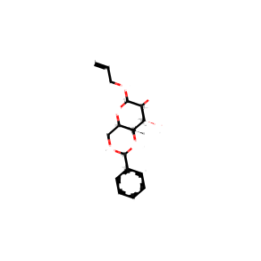 C=CCOC1OC2COC(c3ccccc3)O[C@H]2[C@H](O)C1O